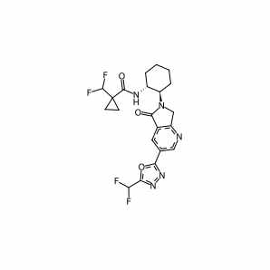 O=C1c2cc(-c3nnc(C(F)F)o3)cnc2CN1[C@@H]1CCCC[C@H]1NC(=O)C1(C(F)F)CC1